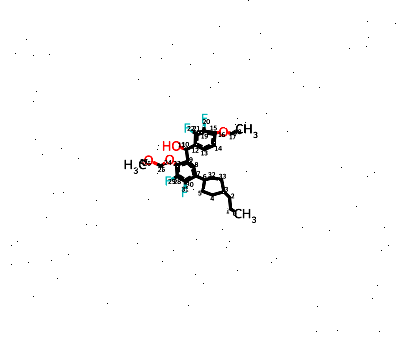 CCCC1CCC(c2cc(C(O)c3ccc(OCC)c(F)c3F)c(OCOC)c(F)c2F)CC1